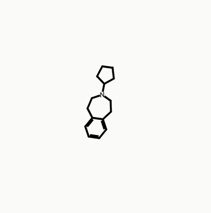 c1ccc2c(c1)CCN(C1CCCC1)CC2